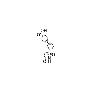 O=C1CC[C@@H](c2ccnc(N3CCC(C(=O)O)CC3)c2)C(=O)N1